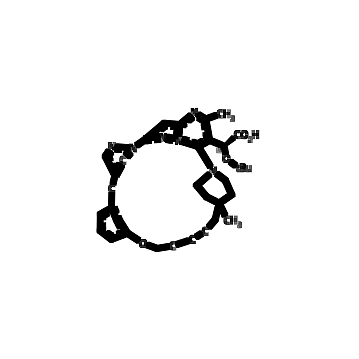 Cc1nc2cc3nn2c(c1[C@H](OC(C)(C)C)C(=O)O)N1CCC(C)(CCCCCOc2cccc(c2)Cc2cnn-3c2)CC1